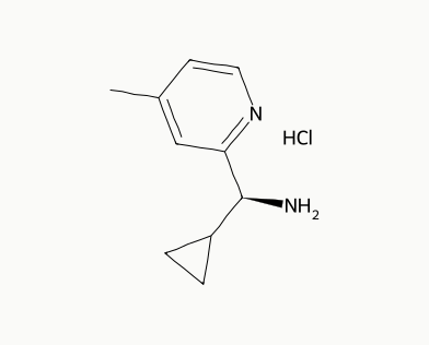 Cc1ccnc([C@@H](N)C2CC2)c1.Cl